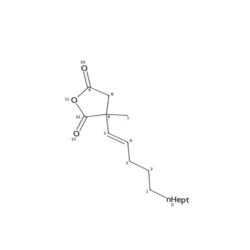 CCCCCCCCCCC=CC1(C)CC(=O)OC1=O